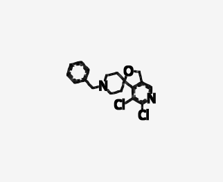 Clc1ncc2c(c1Cl)C1(CCN(Cc3ccccc3)CC1)OC2